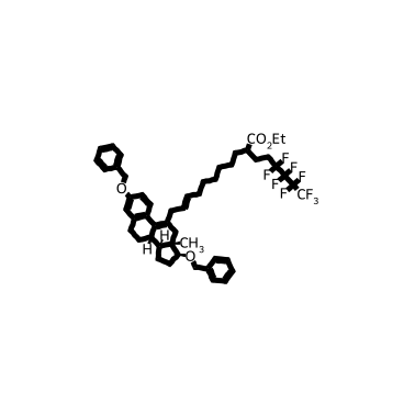 CCOC(=O)C(CCCCCC/C=C/CC1=C2c3ccc(OCc4ccccc4)cc3CC[C@H]2[C@@H]2CC[C@H](OCc3ccccc3)[C@@]2(C)C1)CCC(F)(F)C(F)(F)C(F)(F)C(F)(F)F